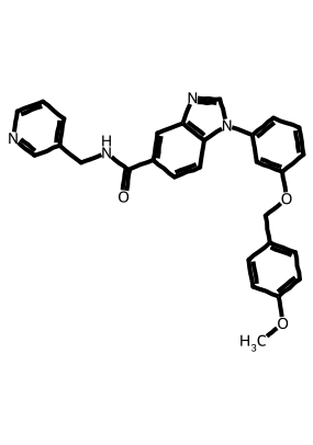 COc1ccc(COc2cccc(-n3cnc4cc(C(=O)NCc5cccnc5)ccc43)c2)cc1